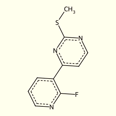 CSc1nccc(-c2cccnc2F)n1